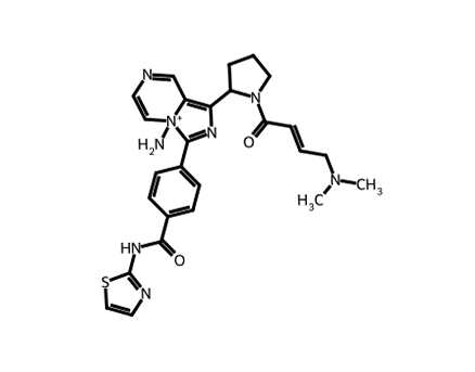 CN(C)CC=CC(=O)N1CCCC1C1=C2C=NC=C[N+]2(N)C(c2ccc(C(=O)Nc3nccs3)cc2)=N1